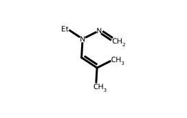 C=NN(C=C(C)C)CC